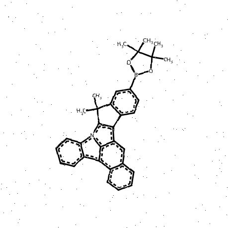 CC1(C)c2cc(B3OC(C)(C)C(C)(C)O3)ccc2-c2c1n1c3ccccc3c3c4ccccc4cc2c31